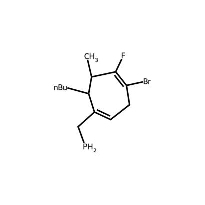 CCCCC1C(CP)=CCC(Br)=C(F)C1C